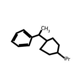 CC(C)C1CCC(C(C)c2ccccc2)CC1